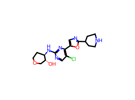 O[C@@H]1COCC[C@H]1Nc1ncc(Cl)c(-c2cnc(C3CCNCC3)o2)n1